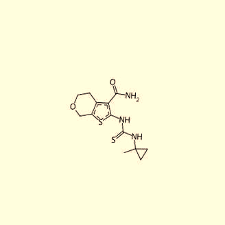 CC1(NC(=S)Nc2sc3c(c2C(N)=O)CCOC3)CC1